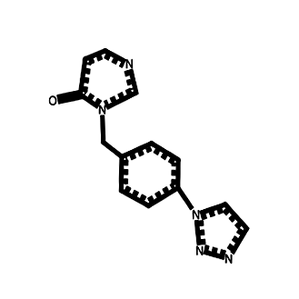 O=c1ccncn1Cc1ccc(-n2ccnn2)cc1